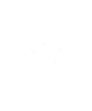 O=C(Nc1cncc(-c2cc(-c3c(F)cccc3C(F)(F)F)no2)c1)C(Cl)Cl